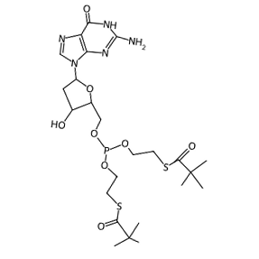 CC(C)(C)C(=O)SCCOP(OCCSC(=O)C(C)(C)C)OCC1OC(n2cnc3c(=O)[nH]c(N)nc32)CC1O